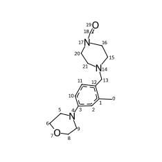 Cc1cc(N2CCOCC2)ccc1CN1CCN([C]=O)CC1